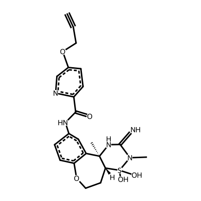 C#CCOc1ccc(C(=O)Nc2ccc3c(c2)[C@@]2(C)NC(=N)N(C)S(O)(O)[C@@H]2CCO3)nc1